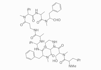 CNC(CC(C)C)C(=O)N(C)C(CO)C(=O)N1NCCCC1C(=O)N(C)C(Cc1ccccc1)C(=O)NC(NC(C)C(=O)NCCC(=O)N(C)C(C(=O)NC(C)C(=O)N(C)C(C=O)Cc1ccccc1)C(C)C)C(C)C